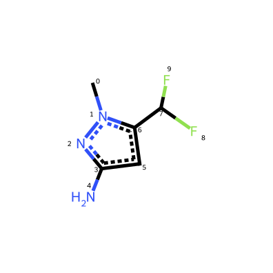 Cn1nc(N)cc1C(F)F